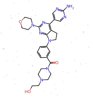 Nc1ncc(-c2nc(N3CCOCC3)nc3c2CCN3c2cccc(C(=O)N3CCN(CCO)CC3)c2)cn1